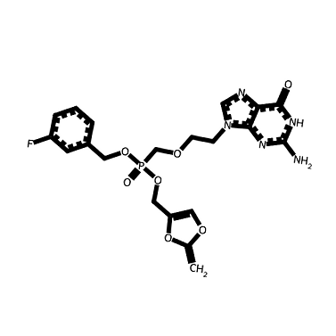 C=C1OC=C(COP(=O)(COCCn2cnc3c(=O)[nH]c(N)nc32)OCc2cccc(F)c2)O1